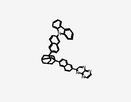 c1ccc2c(c1)c1ccccc1n2-c1ccc2cc(C34CC5CC(CC(c6ccc7cc(-c8cnc9nccnc9n8)ccc7c6)(C5)C3)C4)ccc2c1